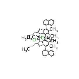 CCCCC1=Cc2c(-c3cccc4ccccc34)c(C)c(C)c(C)c2[CH]1[Zr]([Cl])([Cl])([CH2]C)[CH]1C(CCCC)=Cc2c(-c3cccc4ccccc34)c(C)c(C)c(C)c21